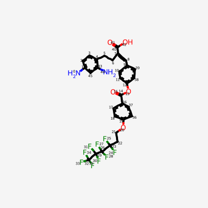 Nc1ccc(CC/C(=C\c2ccc(OC(=O)c3ccc(OCCC(F)(F)C(F)(F)C(F)(F)C(F)(F)F)cc3)cc2)C(=O)O)c(N)c1